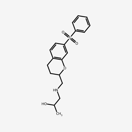 CC(O)CNCC1CCc2ccc(S(=O)(=O)c3ccccc3)cc2O1